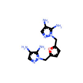 Nc1cnn(Cc2ccc(Cn3ncc(N)c3N)o2)c1N